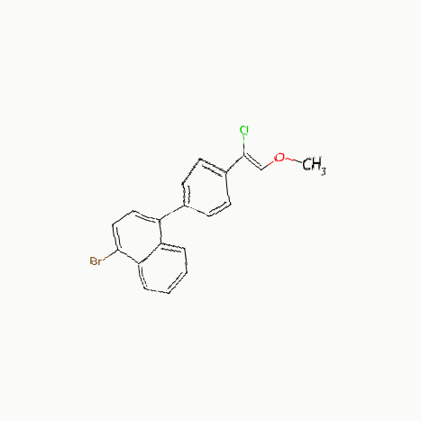 COC=C(Cl)c1ccc(-c2ccc(Br)c3ccccc23)cc1